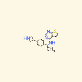 C[C@H](Nc1ncnc2sccc12)c1ccc(C2CNC2)cc1